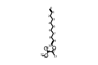 C=CCCCCCCCC=COC(C)C(=O)OC